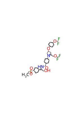 CCS(=O)(=O)c1ccc([C@H](CO)NC(=O)c2ccc(N3CC(Oc4ccc(OC(F)F)cc4)C[C@H]3COC(F)F)cc2)cc1